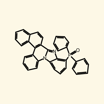 O=P(c1ccccc1)(c1ccccc1)c1cccc2c1nc1c3ccc4ccccc4c3c3ccccc3n21